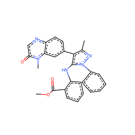 COC(=O)c1ccccc1Nc1c(-c2ccc3ncc(=O)n(C)c3c2)c(C)nn1-c1ccccc1